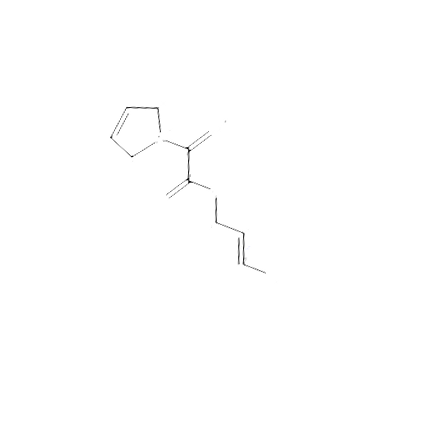 O=C(OC/C=C/C(F)(F)F)C(=O)N1CC=CC1